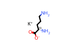 NCCC[C@H](N)C(=O)[O-].[K+]